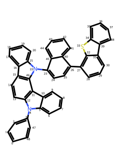 c1ccc(-n2c3ccccc3c3c2ccc2c4ccccc4n(-c4ccc(-c5cccc6c5sc5ccccc56)c5ccccc45)c23)cc1